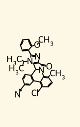 COc1ccccc1-c1nc2c(n1C(C)C)C1c3ccc(C#N)cc3-c3c(Cl)ccc(C)c3N1C2=O